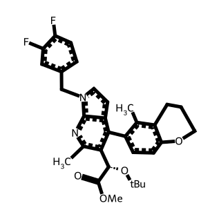 COC(=O)[C@@H](OC(C)(C)C)c1c(C)nc2c(ccn2Cc2ccc(F)c(F)c2)c1-c1ccc2c(c1C)CCCO2